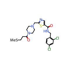 CSCCC(=O)N1CCN(Cc2ncc(C(=O)NCc3ccc(Cl)cc3Cl)s2)CC1